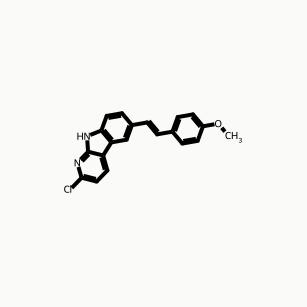 COc1ccc(C=Cc2ccc3[nH]c4nc(Cl)ccc4c3c2)cc1